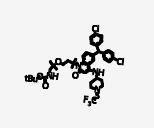 CC(C)(C)OC(=O)NCC(C)(C)OCCC(C)(C)n1c(=O)cc(NC2CCN(SC(F)(F)F)CC2)c2cc(C(c3ccc(Cl)cc3)c3ccc(Cl)cc3)ccc21